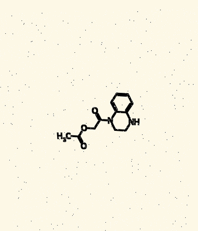 CC(=O)OCC(=O)N1CCNc2ccccc21